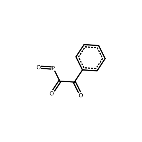 O=PC(=O)C(=O)c1ccccc1